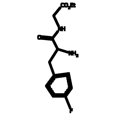 CCOC(=O)CNC(=O)C(N)Cc1ccc(F)cc1